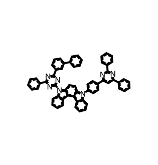 c1ccc(-c2cccc(-c3nc(-c4ccccc4)nc(-n4c5ccccc5c5c6c7ccccc7n(-c7ccc(-c8cc(-c9ccccc9)nc(-c9ccccc9)n8)cc7)c6ccc54)n3)c2)cc1